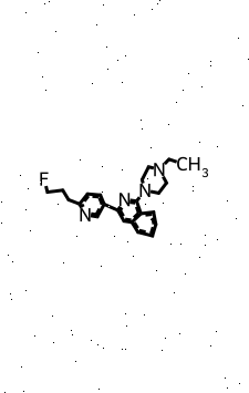 CCN1CCN(c2nc(-c3ccc(CCCF)nc3)cc3ccccc23)CC1